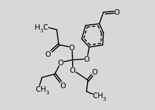 CCC(=O)OC(OC(=O)CC)(OC(=O)CC)Oc1ccc(C=O)cc1